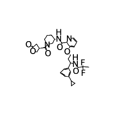 CC(F)(F)C(=O)NC(CCOc1cccnc1C(=O)N[C@H]1CCCN(C(=O)[C@H]2COC(=O)C2)C1)c1cccc(C2CC2)c1